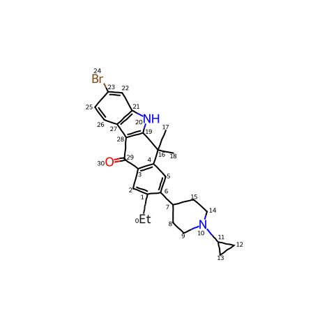 CCc1cc2c(cc1C1CCN(C3CC3)CC1)C(C)(C)c1[nH]c3cc(Br)ccc3c1C2=O